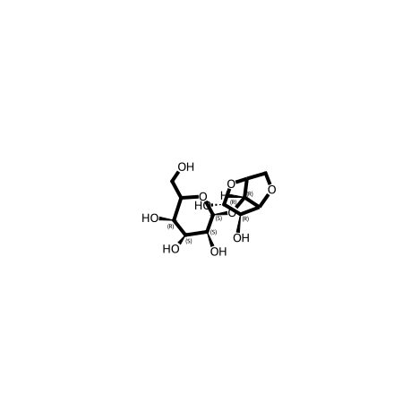 OCC1O[C@@H](O[C@@H]2C3COC2[C@@H](O)[C@H](O)O3)[C@@H](O)[C@@H](O)[C@H]1O